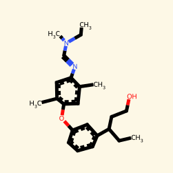 CCC(CCO)c1cccc(Oc2cc(C)c(N=CN(C)CC)cc2C)c1